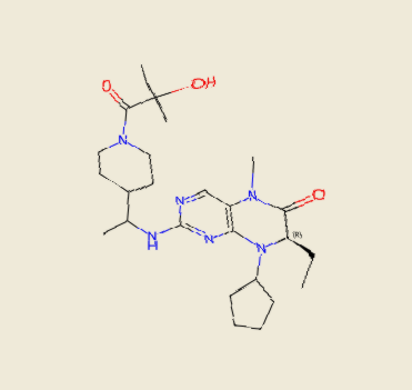 CC[C@@H]1C(=O)N(C)c2cnc(NC(C)C3CCN(C(=O)C(C)(C)O)CC3)nc2N1C1CCCC1